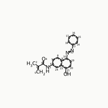 C=C(C)C(=O)Nc1ccc2c(N=Nc3ccccc3)ccc(O)c2c1